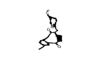 CC1=C(Cc2ccc(F)cn2)C(=O)c2ccc(C)cc2C1=O